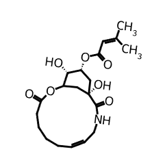 CC(C)=CC(=O)O[C@@H]1C[C@]2(O)CC(OC(=O)CCCC/C=C\CNC2=O)[C@@H]1O